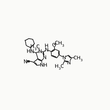 COc1cc(-n2cc(C)nc2C)ccc1NC1=Nc2[nH]cc(C#N)c2C(NC2CCCCC2)N1C